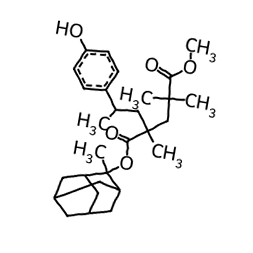 COC(=O)C(C)(C)CC(C)(CC(C)c1ccc(O)cc1)C(=O)OC1(C)C2CC3CC(C2)CC1C3